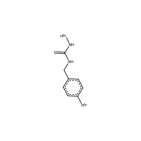 CCCNC(=S)NCc1ccc(CCC)cc1